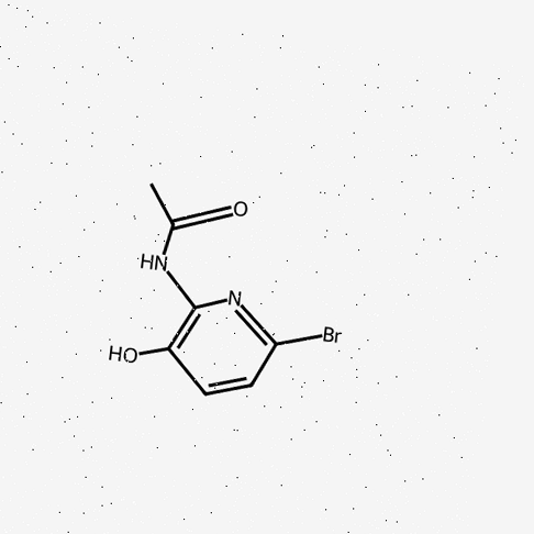 CC(=O)Nc1nc(Br)ccc1O